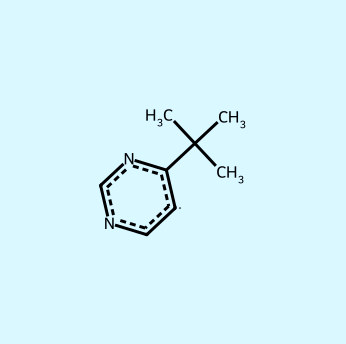 CC(C)(C)c1[c]cncn1